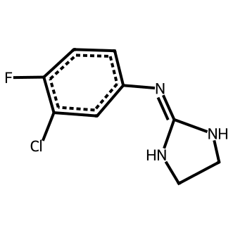 Fc1ccc(N=C2NCCN2)cc1Cl